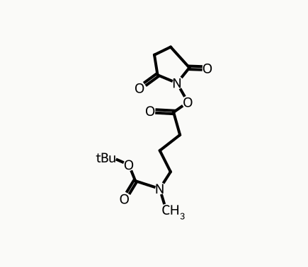 CN(CCCC(=O)ON1C(=O)CCC1=O)C(=O)OC(C)(C)C